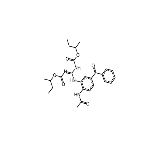 CCC(C)OC(=O)/N=C(/NC(=O)OC(C)CC)Nc1cc(C(=O)c2ccccc2)ccc1NC(C)=O